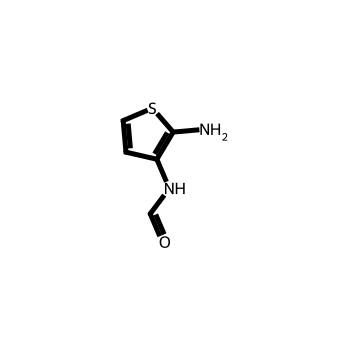 Nc1sccc1NC=O